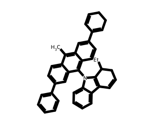 CCC1CC=Cc2c1n(-c1c3ccc(C4=CCCC=C4)cc3c(C)c3ccc(-c4ccccc4)cc13)c1ccccc21